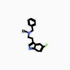 CCN(CCC1=CN=C2CC=C(F)C=C12)Cc1ccccc1